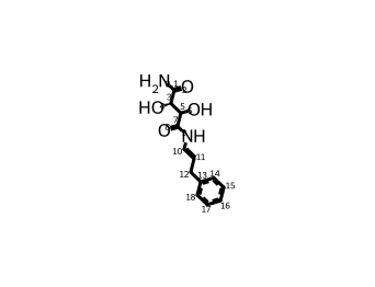 NC(=O)[C@H](O)C(O)C(=O)NC=CCc1ccccc1